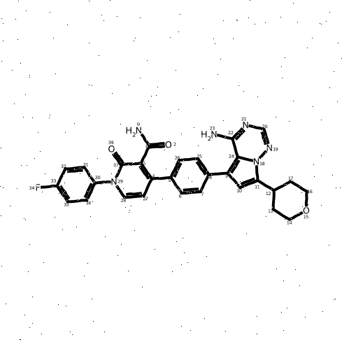 NC(=O)c1c(-c2ccc(-c3cc(C4CCOCC4)n4ncnc(N)c34)cc2)ccn(-c2ccc(F)cc2)c1=O